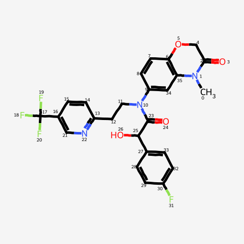 CN1C(=O)COc2ccc(N(CCc3ccc(C(F)(F)F)cn3)C(=O)C(O)c3ccc(F)cc3)cc21